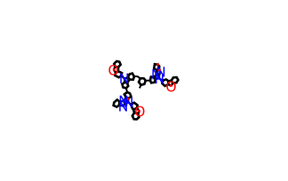 Cc1cc(Cc2ccc3c(c2)c2cc(-c4ccc5c(c4)n4c6ccccc6nc4n5-c4ccc5oc6ccccc6c5c4)ccc2n3-c2ccc3oc4ccccc4c3c2)cc(-c2ccc3c(c2)n2c4ccccc4nc2n3-c2ccc3oc4ccccc4c3c2)c1